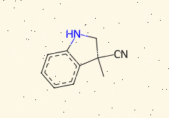 CC1(C#N)CNc2ccccc21